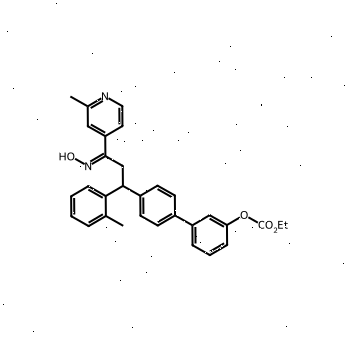 CCOC(=O)Oc1cccc(-c2ccc(C(CC(=NO)c3ccnc(C)c3)c3ccccc3C)cc2)c1